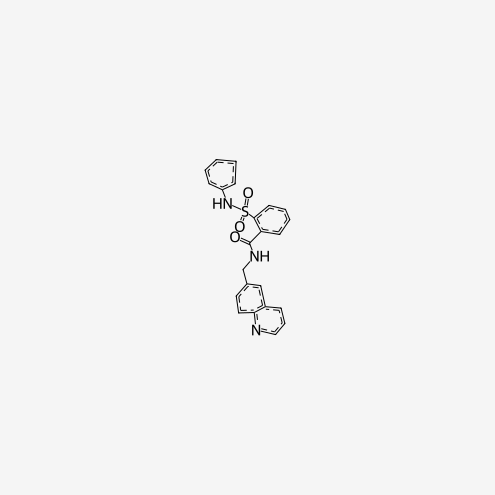 O=C(NCc1ccc2ncccc2c1)c1ccccc1S(=O)(=O)Nc1ccccc1